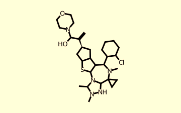 C=C(C(O)N1CCOCC1)[C@@H]1CC2SC3C(C2C1)C(C1CCCCC1Cl)N(C)C1(CC1)C1NN(C)C(C)N31